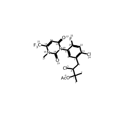 CC(=O)OC(C)(C)C(Cl)Cc1cc(-n2c(=O)cc(C(F)(F)F)n(C)c2=O)c(F)cc1Cl